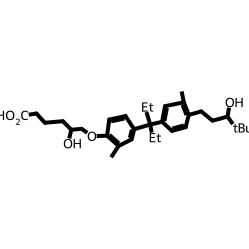 CCC(CC)(c1ccc(CCC(O)C(C)(C)C)c(C)c1)c1ccc(OCC(O)CCCC(=O)O)c(C)c1